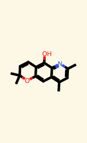 Cc1cc(C)c2cc3c(c(O)c2n1)C=CC(C)(C)O3